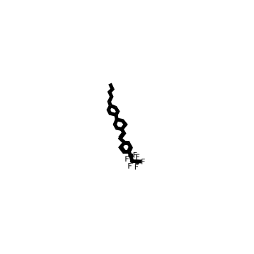 CCCCCC1CCC(C2CCC(/C=C/c3ccc(C(F)(F)C(F)C(F)(F)F)cc3)CC2)CC1